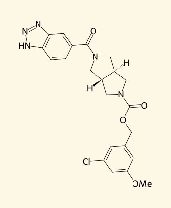 COc1cc(Cl)cc(COC(=O)N2C[C@@H]3CN(C(=O)c4ccc5[nH]nnc5c4)C[C@H]3C2)c1